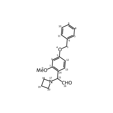 COc1cc(OCc2ccccc2)ccc1C(C=O)N1CCC1